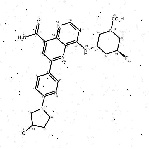 NC(=O)c1cc(-c2ccc(N3CCC(O)C3)nc2)nc2c(N[C@H]3C[C@H](F)CN(C(=O)O)C3)ncnc12